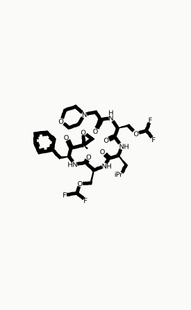 CC(C)C[C@H](NC(=O)[C@H](COC(F)F)NC(=O)CN1CCOCC1)C(=O)N[C@@H](COC(F)F)C(=O)N[C@@H](Cc1ccccc1)C(=O)[C@]1(C)CO1